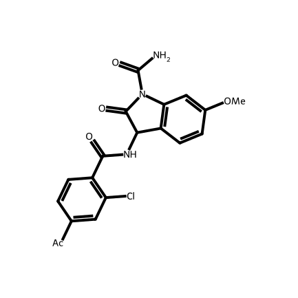 COc1ccc2c(c1)N(C(N)=O)C(=O)C2NC(=O)c1ccc(C(C)=O)cc1Cl